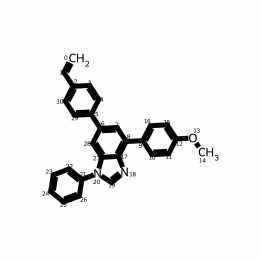 C=Cc1ccc(-c2cc(-c3ccc(OC)cc3)c3ncn(-c4ccccc4)c3c2)cc1